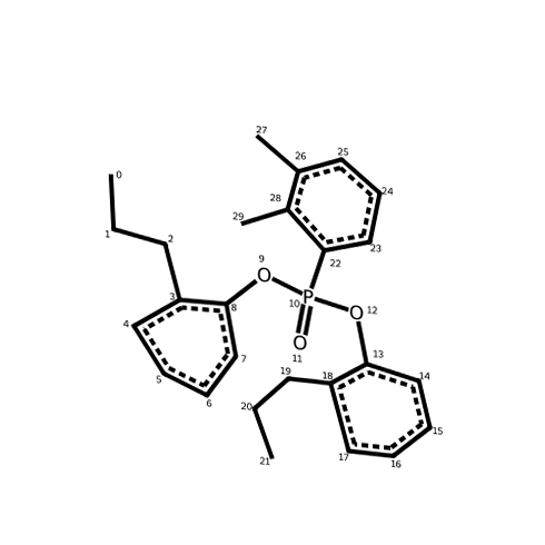 CCCc1ccccc1OP(=O)(Oc1ccccc1CCC)c1cccc(C)c1C